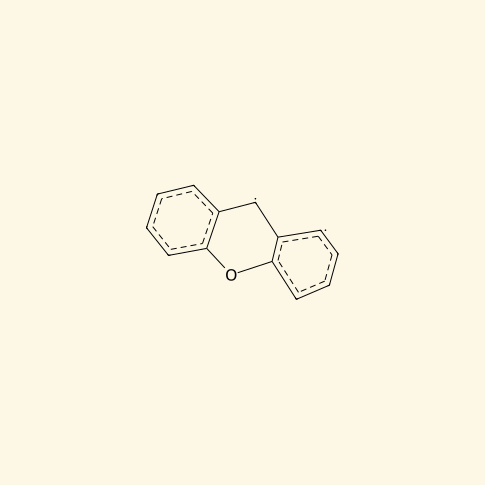 [c]1cccc2c1[CH]c1ccccc1O2